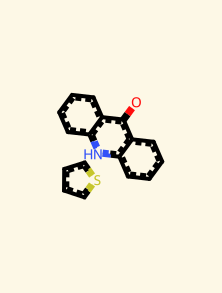 O=c1c2ccccc2[nH]c2ccccc12.c1ccsc1